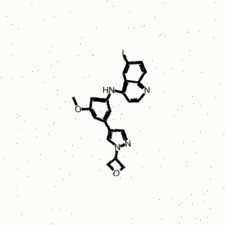 COc1cc(Nc2ccnc3ccc(I)cc23)cc(-c2cnn(C3COC3)c2)c1